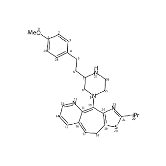 COc1ccc(CCC2CN(C3=c4ncccc4=CCc4sc(C(C)C)nc43)CCN2)cc1